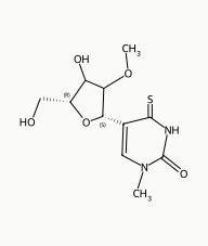 COC1C(O)[C@@H](CO)O[C@H]1c1cn(C)c(=O)[nH]c1=S